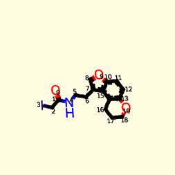 O=C(CI)NCCc1coc2ccc3c(c12)CCCO3